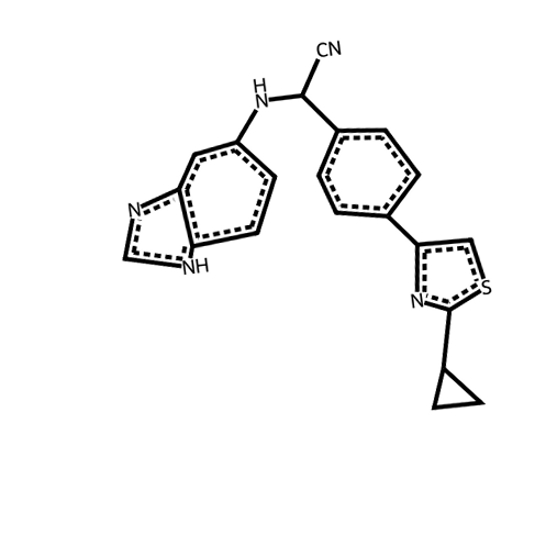 N#CC(Nc1ccc2[nH]cnc2c1)c1ccc(-c2csc(C3CC3)n2)cc1